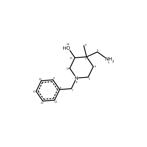 CC1(CN)CCN(Cc2ccccc2)CC1O